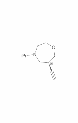 C#C[C@@H]1COCCN(C(C)C)C1